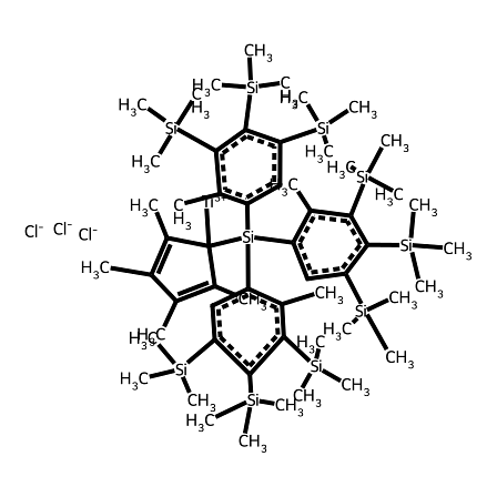 CC1=C(C)[C]([Ti+3])([Si](c2cc([Si](C)(C)C)c([Si](C)(C)C)c([Si](C)(C)C)c2C)(c2cc([Si](C)(C)C)c([Si](C)(C)C)c([Si](C)(C)C)c2C)c2cc([Si](C)(C)C)c([Si](C)(C)C)c([Si](C)(C)C)c2C)C(C)=C1C.[Cl-].[Cl-].[Cl-]